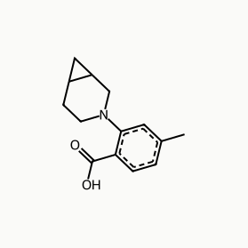 Cc1ccc(C(=O)O)c(N2CCC3CC3C2)c1